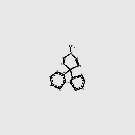 CN1C=CC(c2ccccc2)(c2ccccc2)C=C1